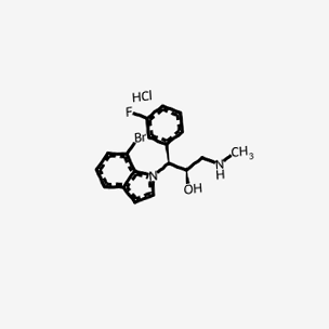 CNC[C@@H](O)[C@H](c1cccc(F)c1)n1ccc2cccc(Br)c21.Cl